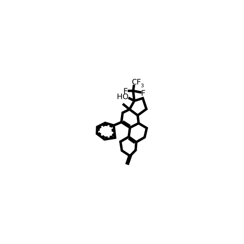 C=C1CCC2=C(CCC3C2=C(c2ccccc2)CC2(C)C3CCC2(O)C(F)(F)C(F)(F)F)C1